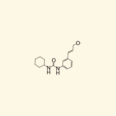 [O]C/C=C/c1cccc(NC(=O)NC2CCCCC2)c1